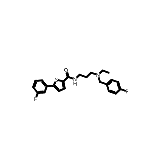 CCN(CCCNC(=O)c1ccc(-c2cccc(F)c2)s1)Cc1ccc(F)cc1